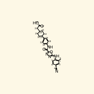 Cc1cc(C#N)ccc1Nc1nnc(C(=O)Nc2ccc(C3CCC(CC(=O)O)CC3)cc2)o1